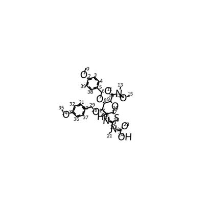 COc1ccc(COC2C(C(=O)N(C)OC)OC3SC(N(C)C(=O)O)=N[C@@H]3C2OCc2ccc(OC)cc2)cc1